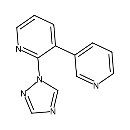 c1cncc(-c2cccnc2-n2cncn2)c1